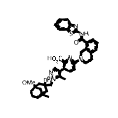 CCCC1(Cn2ncc(-c3ccc(N4CCc5cccc(C(=O)Nc6nc7ccccc7s6)c5C4)nc3C(=O)O)c2C)CC2(C)CCCC(OC)(C2)C1